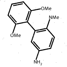 CNc1ccc(N)cc1-c1c(OC)cccc1OC